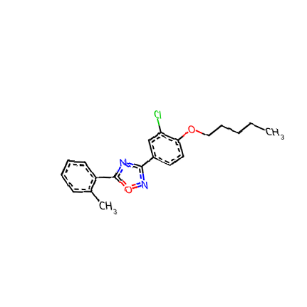 CCCCCOc1ccc(-c2noc(-c3ccccc3C)n2)cc1Cl